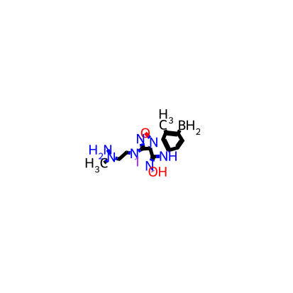 Bc1ccc(N/C(=N\O)c2nonc2N(I)CCN(C)N)cc1C